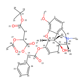 COc1ccc2c3c1O[C@H]1C(OC(=O)[C@@H](OC(=O)C(CC(=O)OC(C)(C)C)OC(C)=O)c4ccccc4)=CC[C@@]4(O)[C@@H](C2)N(C)CC[C@]314